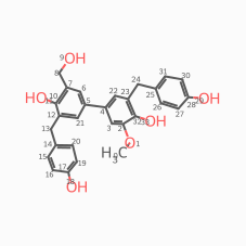 COc1cc(-c2cc(CO)c(O)c(Cc3ccc(O)cc3)c2)cc(Cc2ccc(O)cc2)c1O